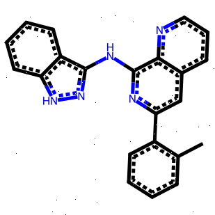 Cc1ccccc1-c1cc2cccnc2c(Nc2n[nH]c3ccccc23)n1